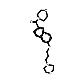 O=C(c1ccc2cc(OCCCN3CCOCC3)ccc2c1)N1CCOCC1